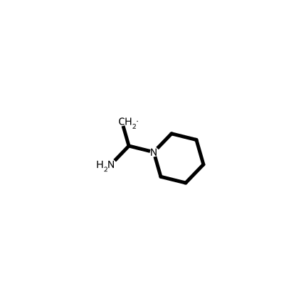 [CH2]C(N)N1CCCCC1